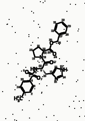 Cc1ccc(S(=O)(=O)N[C@@H](Cc2c[nH]cn2)C(=O)N2CCC[C@H]2C(=O)OCc2ccccc2)cc1